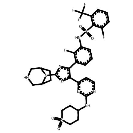 O=S1(=O)CCC(Nc2nccc(-c3sc(N4C5CCC4CNC5)nc3-c3cccc(NS(=O)(=O)c4c(F)cccc4C(F)(F)F)c3F)n2)CC1